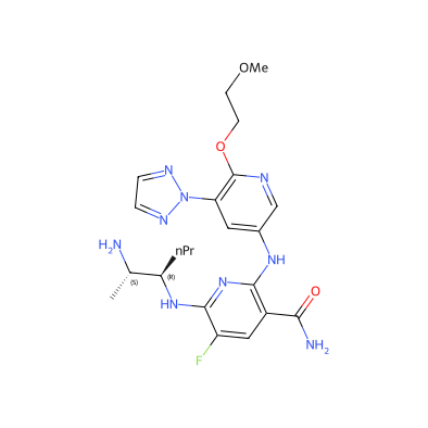 CCC[C@@H](Nc1nc(Nc2cnc(OCCOC)c(-n3nccn3)c2)c(C(N)=O)cc1F)[C@H](C)N